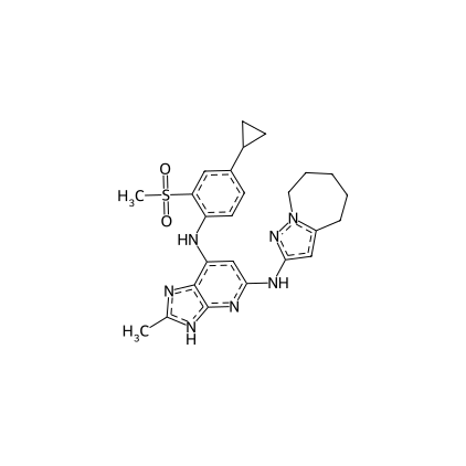 Cc1nc2c(Nc3ccc(C4CC4)cc3S(C)(=O)=O)cc(Nc3cc4n(n3)CCCCC4)nc2[nH]1